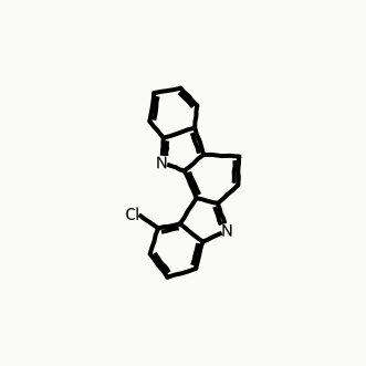 Clc1cccc2c1-c1c3c(ccc1=N2)=c1ccccc1=N3